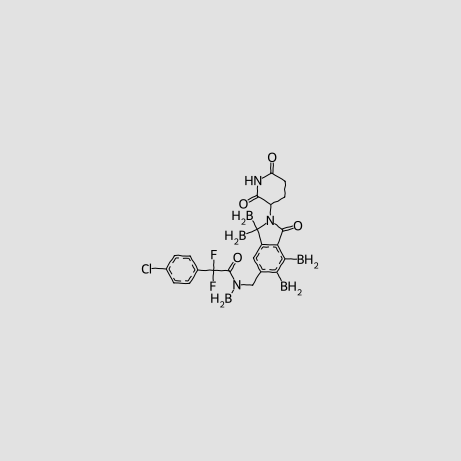 Bc1c(CN(B)C(=O)C(F)(F)c2ccc(Cl)cc2)cc2c(c1B)C(=O)N(C1CCC(=O)NC1=O)C2(B)B